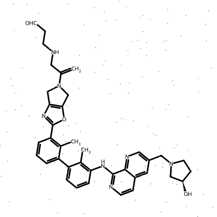 C=C(CNCCC=O)N1Cc2nc(-c3cccc(-c4cccc(Nc5nccc6cc(CN7CC[C@@H](O)C7)cnc56)c4C)c3C)oc2C1